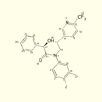 Cc1ccc(N(CCc2ccc(C(F)(F)F)nc2)C(=O)[C@H](O)c2ccccc2)cc1C